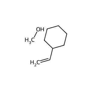 C=CC1CCCCC1.CO